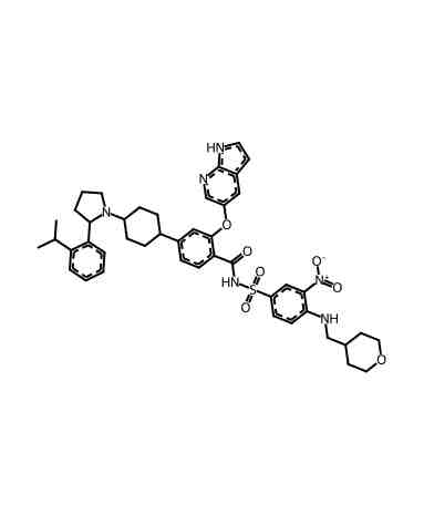 CC(C)c1ccccc1C1CCCN1C1CCC(c2ccc(C(=O)NS(=O)(=O)c3ccc(NCC4CCOCC4)c([N+](=O)[O-])c3)c(Oc3cnc4[nH]ccc4c3)c2)CC1